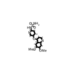 COc1cc2nccc(Oc3ccc(NS(N)(=O)=O)nc3)c2cc1OC